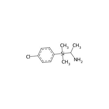 CC(N)[Si](C)(C)c1ccc(Cl)cc1